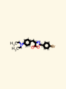 CCN(CC)c1ccc(/C=C2/N=C(c3ccc(Br)cc3)OC2=O)cc1